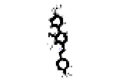 CCCC1CCC(/C=C/c2ccc(-c3ccc(OCC)cc3)c(F)c2C(F)(F)F)CC1